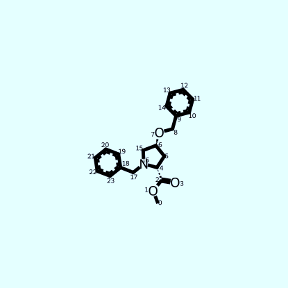 COC(=O)[C@H]1C[C@@H](OCc2ccccc2)CN1Cc1ccccc1